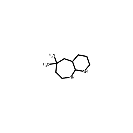 CC1(N)CCNC2NCCCC2C1